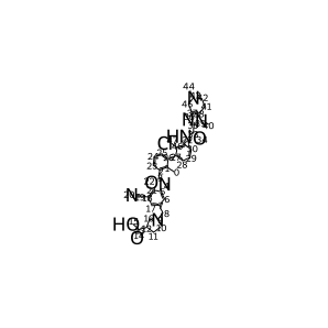 Cc1c(-c2nc3cc(CN4CCC(C(=O)O)C4)cc(C#N)c3o2)cccc1-c1cccc(NC(=O)c2nc3c(n2C)CCN(C)C3)c1Cl